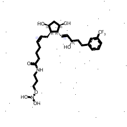 O=C(CCC/C=C\C[C@@H]1[C@@H](/C=C/[C@@H](O)CCc2cccc(C(F)(F)F)c2)[C@H](O)C[C@@H]1O)NCCCON(O)O